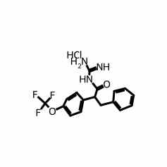 Cl.N=C(N)NC(=O)C(Cc1ccccc1)c1ccc(OC(F)(F)F)cc1